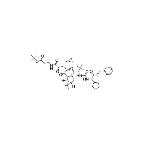 CC(C)(C)OC(=O)CCNC(=O)C(=O)[C@H](CC1CC1)NC(=O)[C@@H]1[C@@H]2[C@H](CN1C(=O)[C@@H](NC(=O)N[C@H](C(=O)OCc1ccccc1)C1CCCC1)C(C)(C)C)C2(C)C